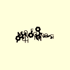 Cc1ccc2c(c1)c(=O)c(C(=O)Nc1ccc(Oc3ncnc4c3c(-c3ccccc3)cn4COCC[Si](C)(C)C)c(F)c1)c(C)n2C